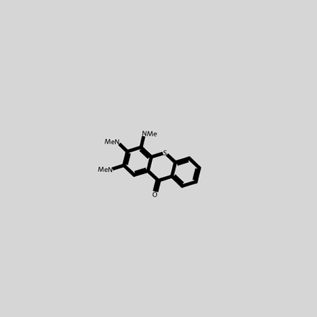 CNc1cc2c(=O)c3ccccc3sc2c(NC)c1NC